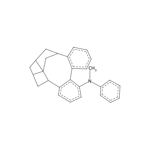 CN(c1ccccc1)c1cccc2c1-c1ccccc1C1CC3CC4CC2C34C1